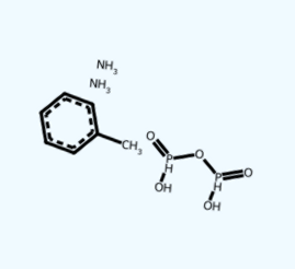 Cc1ccccc1.N.N.O=[PH](O)O[PH](=O)O